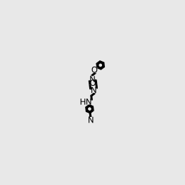 N#Cc1ccc(NCCCN2CC3CN(CCOc4ccccc4)CC(C2)O3)cc1